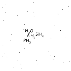 O.P.[AlH3].[SiH4]